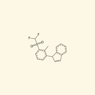 Cc1c(C2C=Cc3ccccc32)cccc1S(=O)(=O)C(F)F